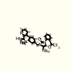 CCCCc1cn(-c2ccccc2C(=O)C(F)(F)F)c(=O)n1Cc1ccc(-c2cccnc2-c2nnn[nH]2)cc1